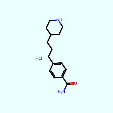 Cl.NC(=O)c1ccc(CCCC2CCNCC2)cc1